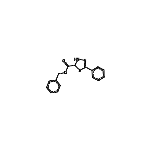 O=C(OCc1ccccc1)C1NN=C(c2ccccc2)S1